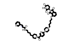 O=C(/C=C/c1cccnc1)NCCCCC1CCN(C(=O)c2ccc(N3CCN(CCCCCSc4cccc5c4C(=O)N(C4CCC(=O)NC4=O)C5=O)CC3)nc2)CC1